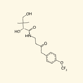 CC(C)(CO)C(O)C(=O)NCCC(=O)Cc1ccc(OC(F)(F)F)cc1